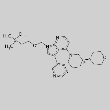 C[Si](C)(C)CCOCn1cc(-c2cncnc2)c2c(N3CCC[C@H](N4CCOCC4)C3)ccnc21